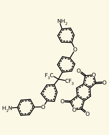 Nc1ccc(Oc2ccc(C(c3ccc(Oc4ccc(N)cc4)cc3)(C(F)(F)F)C(F)(F)F)cc2)cc1.O=c1oc(=O)c2cc3c(=O)oc(=O)c3cc12